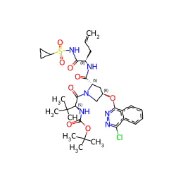 C=CC[C@@H](NC(=O)[C@@H]1C[C@@H](Oc2nnc(Cl)c3ccccc23)CN1C(=O)[C@@H](NC(=O)OC(C)(C)C)C(C)(C)C)C(=O)NS(=O)(=O)C1CC1